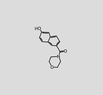 O=C(c1ccc2cc(O)ccc2c1)N1CCOCC1